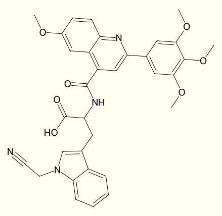 COc1ccc2nc(-c3cc(OC)c(OC)c(OC)c3)cc(C(=O)NC(Cc3cn(CC#N)c4ccccc34)C(=O)O)c2c1